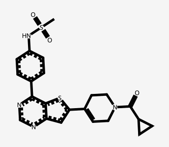 CS(=O)(=O)Nc1ccc(-c2ncnc3cc(C4=CCN(C(=O)C5CC5)CC4)sc23)cc1